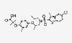 CCCN(CC(C)Oc1ccc(OC(C)(C)C(=O)O)c(C)c1)S(=O)(=O)c1sc2ccc(Cl)cc2c1C